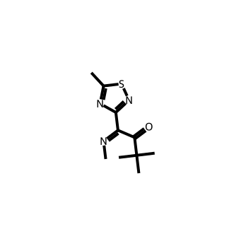 C/N=C(\C(=O)C(C)(C)C)c1nsc(C)n1